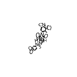 Cc1c(N2C(=O)[C@@H]3C4C[C@H](CN4C(=S)Nc4ccc5c(c4)OCO5)N3C2=O)ccc(C#N)c1Cl